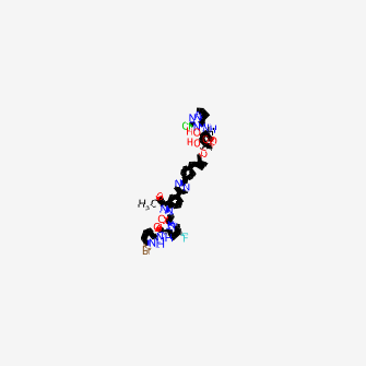 CC(=O)c1nn(CC(=O)N2C[C@H](F)C[C@H]2C(=O)NC2=CC=CC(Br)N2)c2ccc(-c3cnc(C4CCC(CC5CCC5COC[C@@]56CO[C@@H](O5)[C@H](Nc5nc(Cl)nn7cccc57)[C@@H](O)[C@H]6O)CC4)nc3)cc12